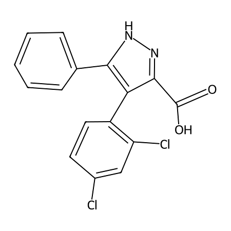 O=C(O)c1n[nH]c(-c2ccccc2)c1-c1ccc(Cl)cc1Cl